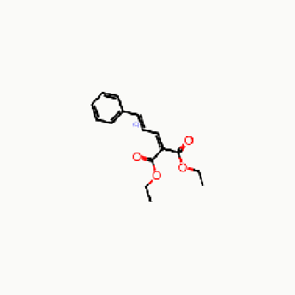 CCOC(=O)C(=C/C=C/c1ccccc1)C(=O)OCC